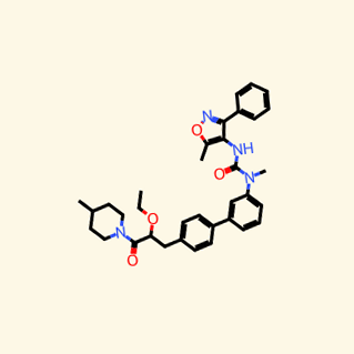 CCOC(Cc1ccc(-c2cccc(N(C)C(=O)Nc3c(-c4ccccc4)noc3C)c2)cc1)C(=O)N1CCC(C)CC1